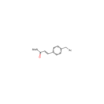 CNC(=O)C=Cc1ccc(CC(C)=O)cc1